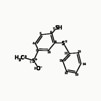 C[S+]([O-])c1ccc(S)c(Sc2ccccc2)c1